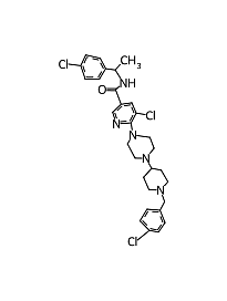 CC(NC(=O)c1cnc(N2CCN(C3CCN(Cc4ccc(Cl)cc4)CC3)CC2)c(Cl)c1)c1ccc(Cl)cc1